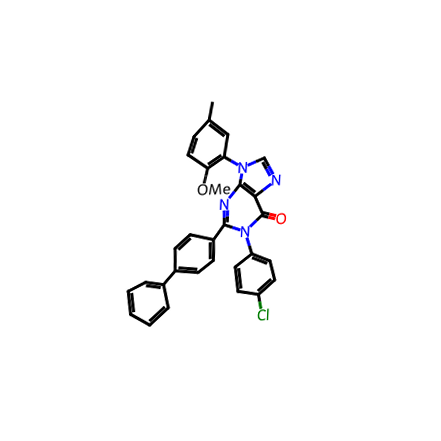 COc1ccc(C)cc1-n1cnc2c(=O)n(-c3ccc(Cl)cc3)c(-c3ccc(-c4ccccc4)cc3)nc21